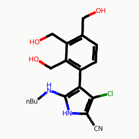 CCCCNc1[nH]c(C#N)c(Cl)c1-c1ccc(CO)c(CO)c1CO